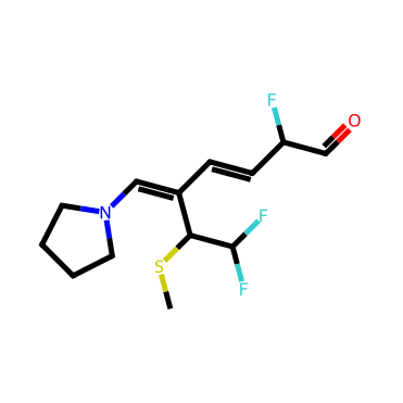 CSC(C(C=CC(F)C=O)=CN1CCCC1)C(F)F